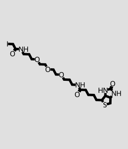 O=C(CI)NCCCOCCOCCOCCCNC(=O)CCCCC1SCC2NC(=O)NC21